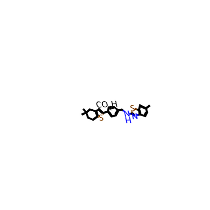 Cc1ccc2nc(NCc3ccc(-c4sc5c(c4C(=O)O)CC(C)(C)CC5)cc3)sc2c1